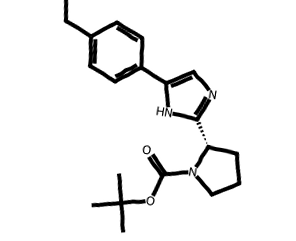 CCc1ccc(-c2cnc([C@@H]3CCCN3C(=O)OC(C)(C)C)[nH]2)cc1